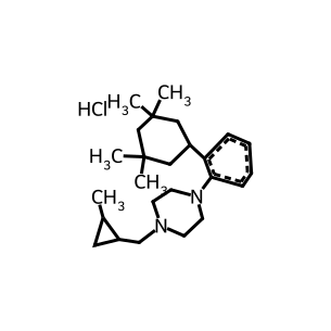 CC1CC1CN1CCN(c2ccccc2C2CC(C)(C)CC(C)(C)C2)CC1.Cl